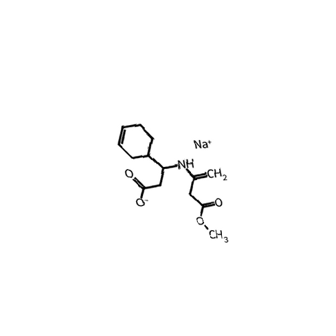 C=C(CC(=O)OC)NC(CC(=O)[O-])C1CC=CCC1.[Na+]